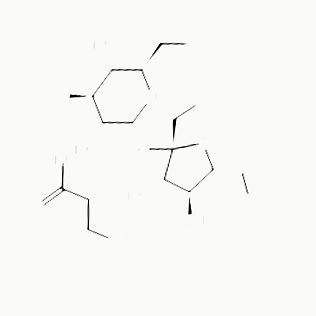 CCCC(=O)O.OC[C@H]1O[C@@](CO)(O[C@H]2O[C@H](CO)[C@@H](O)[C@H](O)[C@H]2O)[C@@H](O)[C@@H]1O